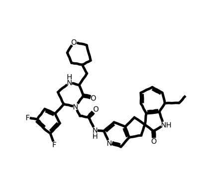 CCC1C=CC=CC2=C1NC(=O)C21Cc2cnc(NC(=O)CN3C(=O)C(CC4CCOCC4)NCC3c3cc(F)cc(F)c3)cc2C1